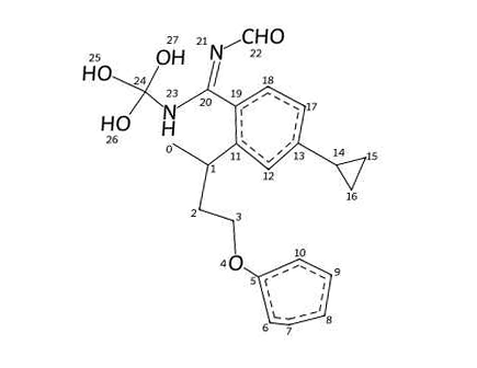 CC(CCOc1ccccc1)c1cc(C2CC2)ccc1/C(=N\C=O)NC(O)(O)O